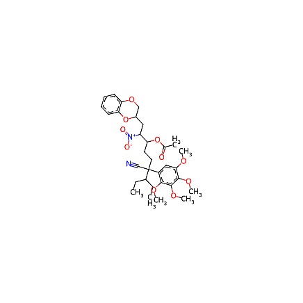 CCC(CC)C(C#N)(CCC(OC(C)=O)C(CC1COc2ccccc2O1)[N+](=O)[O-])c1cc(OC)c(OC)c(OC)c1OC